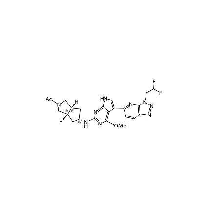 COc1nc(N[C@@H]2C[C@@H]3CN(C(C)=O)C[C@@H]3C2)nc2[nH]cc(-c3ccc4nnn(CC(F)F)c4n3)c12